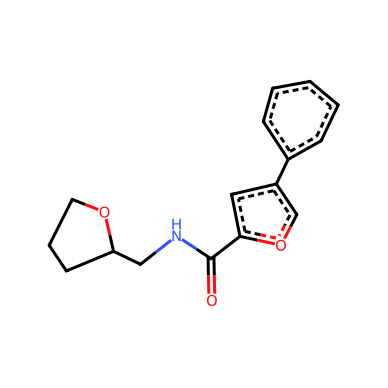 O=C(NCC1CCCO1)c1cc(-c2ccccc2)co1